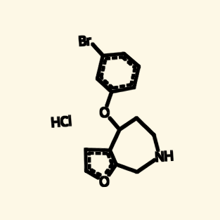 Brc1cccc(OC2CCNCc3occc32)c1.Cl